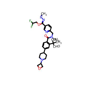 C=N/N=C(\OCC(F)F)c1ccc(CN(C)C(=O)c2ccc(C3CCN(C4COC4)CC3)cc2C(C)(C)C=O)nc1